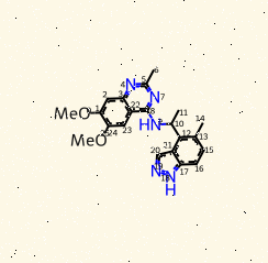 COc1cc2nc(C)nc(NC(C)c3c(C)ccc4[nH]ncc34)c2cc1OC